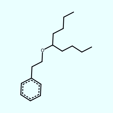 CCCC[C](CCCC)OCCc1ccccc1